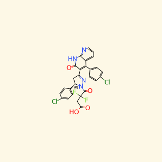 O=C(O)CC(F)(F)C(=O)N1N=C(c2c(-c3ccc(Cl)cc3)c3cccnc3[nH]c2=O)C[C@@H]1c1ccc(Cl)cc1